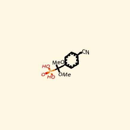 COC(OC)(c1ccc(C#N)cc1)P(=O)(O)O